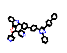 c1ccc(-c2ccc(-c3cc(-c4ccc(-c5ccc(-c6nc7ccccc7c7oc(-c8ccncc8)c(-c8ccncc8)c67)cc5)cc4)nc(-c4ccccc4)n3)cc2)cc1